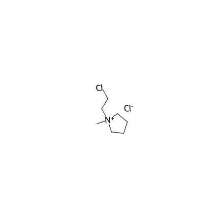 C[N+]1(CCCl)CCCC1.[Cl-]